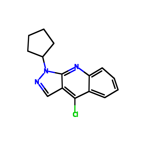 Clc1c2ccccc2nc2c1cnn2C1CCCC1